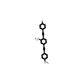 Cc1ccc(C#Cc2ccc(C#Cc3ccc(I)cc3)c(C(F)(F)F)c2)cc1